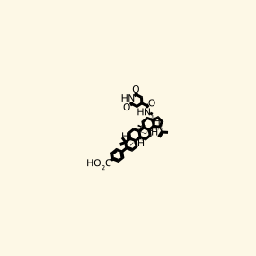 C=C(C)[C@@H]1CC[C@]2(CNC(=O)C3CC(=O)NC(=O)C3)CC[C@]3(C)[C@H](CC[C@@H]4[C@@]5(C)CC=C(c6ccc(C(=O)O)cc6)C(C)(C)[C@@H]5CC[C@]43C)[C@@H]12